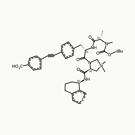 C[C@@H](C(=O)N[C@@H](Cc1ccc(C#Cc2ccc(C(=O)O)cc2)cc1)C(=O)N1C[Si](C)(C)C[C@H]1C(=O)N[C@@H]1CCCc2ccccc21)N(C)C(=O)OC(C)(C)C